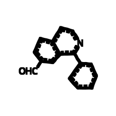 O=Cc1ccc2ccnc(-c3ccccc3)c2c1